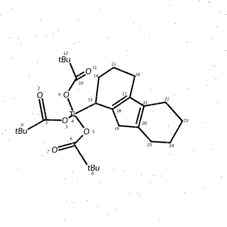 CC(C)(C)C(=O)[O][Ti]([O]C(=O)C(C)(C)C)([O]C(=O)C(C)(C)C)[CH]1CCCC2=C1CC1=C2CCCC1